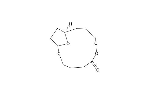 O=C1CCCCC2CC[C@@H](CCCCO1)O2